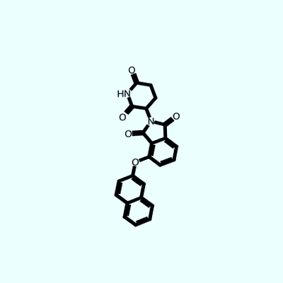 O=C1CCC(N2C(=O)c3cccc(Oc4ccc5ccccc5c4)c3C2=O)C(=O)N1